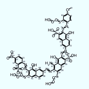 COc1ccc(N=Nc2c(S(=O)(=O)O)cc3cc(N=Nc4c(S(=O)(=O)O)cc5cc(SOOO)c(N=Nc6ccc7cc(SOOO)c(N=Nc8ccc([N+](=O)[O-])cc8S(=O)(=O)O)c(O)c7c6)c(N)c5c4O)ccc3c2O)c(SOOO)c1